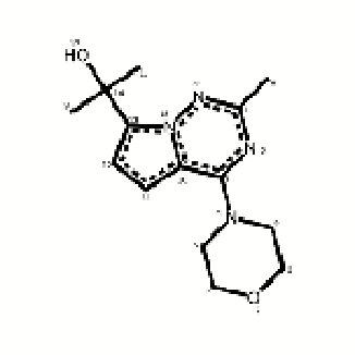 Cc1nc(N2CCOCC2)c2ccc(C(C)(C)O)n2n1